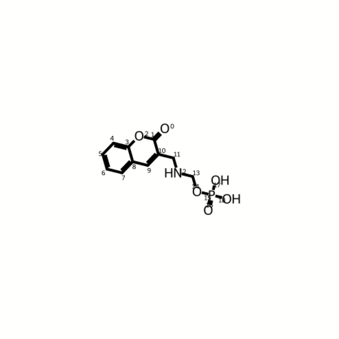 O=c1oc2ccccc2cc1CNCOP(=O)(O)O